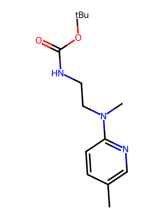 Cc1ccc(N(C)CCNC(=O)OC(C)(C)C)nc1